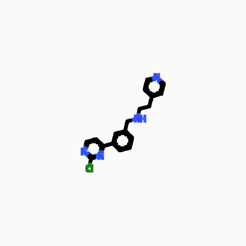 Clc1nccc(-c2cccc(CNCCc3ccncc3)c2)n1